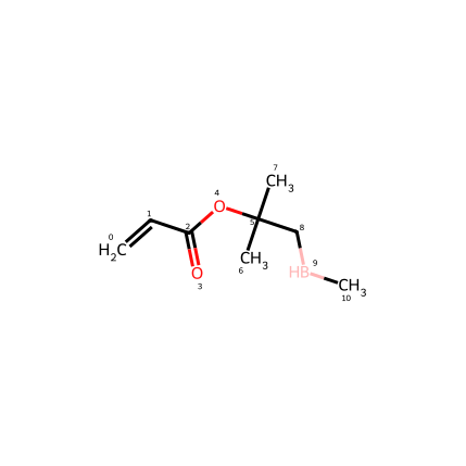 C=CC(=O)OC(C)(C)CBC